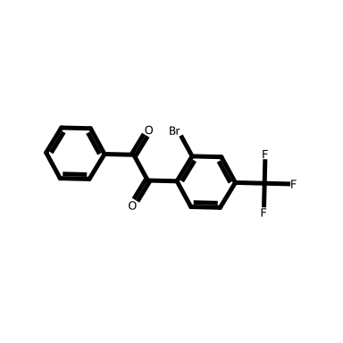 O=C(C(=O)c1ccc(C(F)(F)F)cc1Br)c1ccccc1